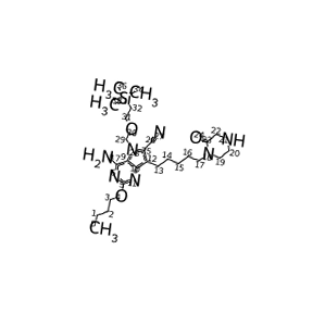 CCCCOc1nc(N)c2c(n1)c(CCCCCN1CCNCC1=O)c(C#N)n2COCC[Si](C)(C)C